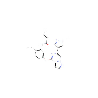 C/C=C/C(=O)Nc1cc(Oc2nc(-c3cnn(C)c3)cn3nccc23)ccc1C